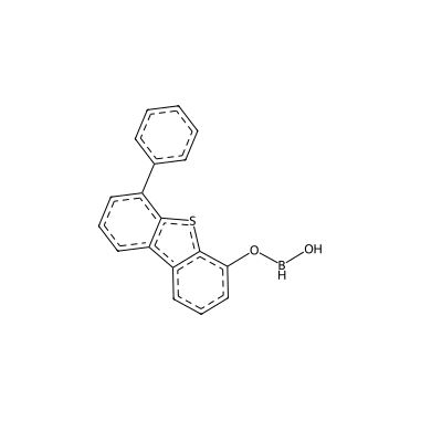 OBOc1cccc2c1sc1c(-c3ccccc3)cccc12